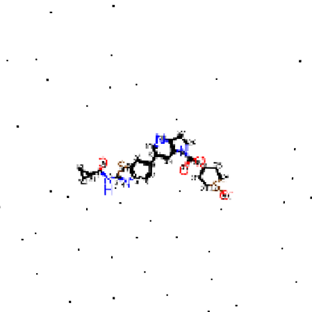 O=C(Nc1nc2ccc(-c3cnc4c(c3)N(C(=O)OC3CC[S+]([O-])CC3)CC4)cc2s1)C1CC1